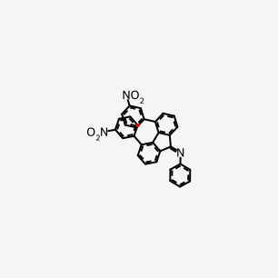 O=[N+]([O-])c1cccc(-c2cccc3c2-c2c(cccc2-c2cccc([N+](=O)[O-])c2)C3=Nc2ccccc2)c1